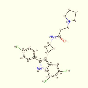 O=C(CCN1CCCC1)N[C@H]1C[C@@H](c2c(-c3ccc(F)cc3)[nH]c3c(F)cc(F)cc32)C1